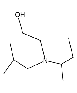 CCC(C)N(CCO)CC(C)C